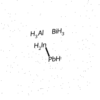 [AlH3].[BiH3].[InH2][PbH]